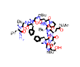 CCCCN(CC(=O)N(C)[C@@H](Cc1ccccc1)C(=O)N[C@H](C(=O)N(C)[C@@H](CC(C)C)C(N)=O)[C@@H](C)CC)C(=O)C[C@H](NC(=O)[C@H]([C@@H](C)CC)N(C)C(=O)[C@H](CCC(=O)NC)NC(=O)[C@H](CC(C)C)N(C)C(=O)[C@H](Cc1ccccc1)N(C)C(=O)CN(CCCC)C(=O)C[C@@H](C)O)C(=O)N1CCCCC1